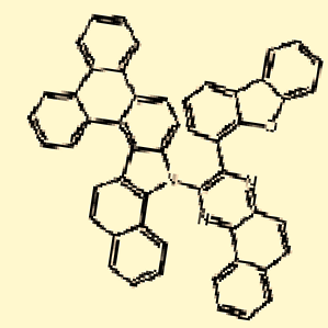 c1ccc2c(c1)ccc1nc(-c3cccc4c3oc3ccccc34)c(-n3c4ccc5c6ccccc6c6ccccc6c5c4c4ccc5ccccc5c43)nc12